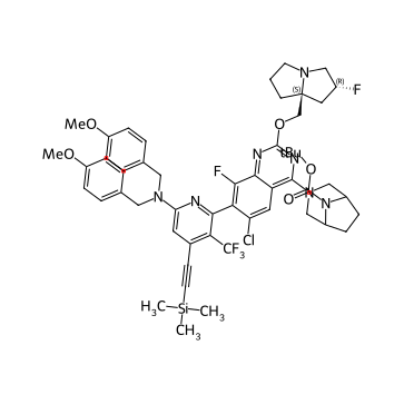 COc1ccc(CN(Cc2ccc(OC)cc2)c2cc(C#C[Si](C)(C)C)c(C(F)(F)F)c(-c3c(Cl)cc4c(N5CC6CCC(C5)N6C(=O)OC(C)(C)C)nc(OC[C@@]56CCCN5C[C@H](F)C6)nc4c3F)n2)cc1